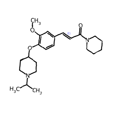 COc1cc(/C=C/C(=O)N2CCCCC2)ccc1OC1CCN(C(C)C)CC1